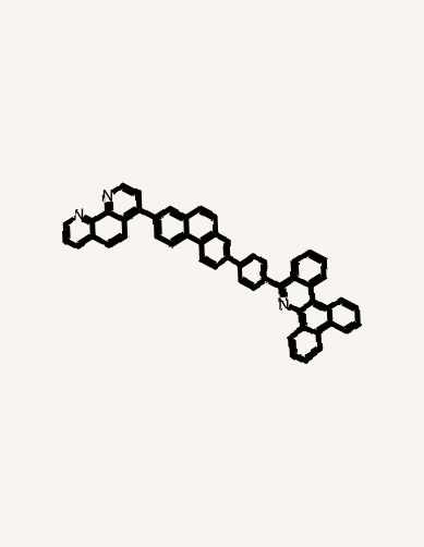 c1cnc2c(c1)ccc1c(-c3ccc4c(ccc5cc(-c6ccc(-c7nc8c9ccccc9c9ccccc9c8c8ccccc78)cc6)ccc54)c3)ccnc12